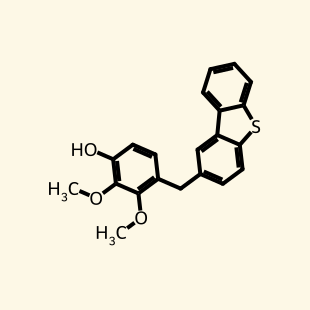 COc1c(O)ccc(Cc2ccc3sc4ccccc4c3c2)c1OC